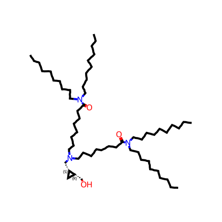 CCCCCCCCCCN(CCCCCCCCCC)C(=O)CCCCCCCN(CCCCCCCC(=O)N(CCCCCCCCCC)CCCCCCCCCC)C[C@H]1C[C@H]1CO